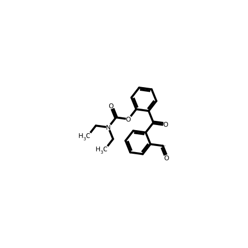 CCN(CC)C(=O)Oc1ccccc1C(=O)c1ccccc1[C]=O